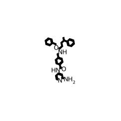 CC(CCC(NCc1ccc(C(=O)Nc2ccnc(N)c2)cc1)OCc1ccccc1)c1ccccc1